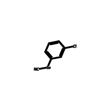 N#C[Se]c1cccc(Cl)c1